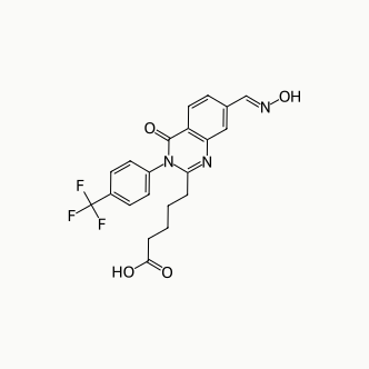 O=C(O)CCCCc1nc2cc(C=NO)ccc2c(=O)n1-c1ccc(C(F)(F)F)cc1